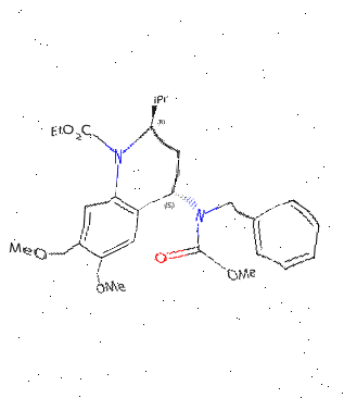 CCOC(=O)N1c2cc(OC)c(OC)cc2[C@@H](N(Cc2ccccc2)C(=O)OC)C[C@@H]1C(C)C